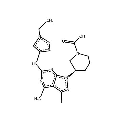 CCn1cc(Nc2nc(N)c3c(I)nn([C@@H]4CCCN(C(=O)O)C4)c3n2)cn1